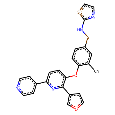 N#Cc1cc(SNc2nccs2)ccc1Oc1ccc(-c2ccncc2)nc1-c1ccoc1